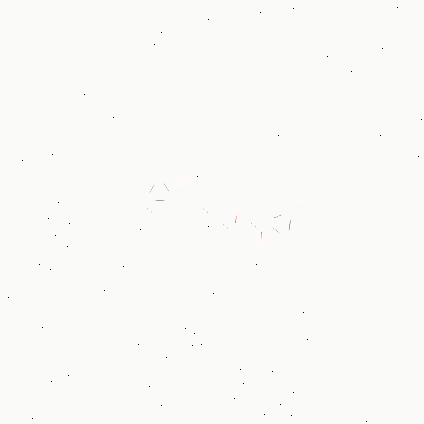 Cc1cccc(C(=O)NCC(=O)NC2CN(C3CCC(O)(c4cccc(N(C)C)c4)CC3)C2)c1